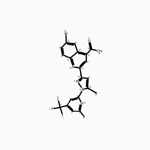 Cc1cc(C(F)(F)F)cc(-n2nc(-c3cc(C(=O)O)c4cc(Br)ccc4n3)cc2C)n1